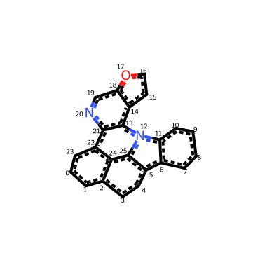 c1cc2ccc3c4ccccc4n4c5c6ccoc6cnc5c(c1)c2c34